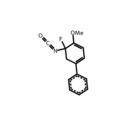 COC1=CC=C(c2ccccc2)CC1(F)N=C=O